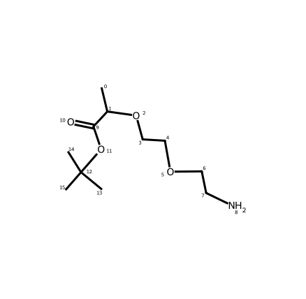 CC(OCCOCCN)C(=O)OC(C)(C)C